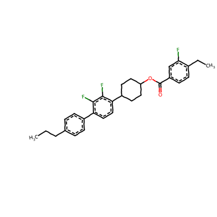 CCCc1ccc(-c2ccc(C3CCC(OC(=O)c4ccc(CC)c(F)c4)CC3)c(F)c2F)cc1